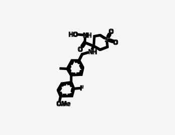 COc1ccc(-c2ccc(CNC3(C(=O)NO)CCS(=O)(=O)CC3)cc2C)c(F)c1